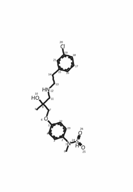 CN(c1ccc(OCC(C)(O)CNCCc2cccc(Cl)c2)cc1)[SH](=O)=O